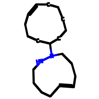 C1=C\CCCC(N2CCC/C=C/CCCCN2)CCCCC/1